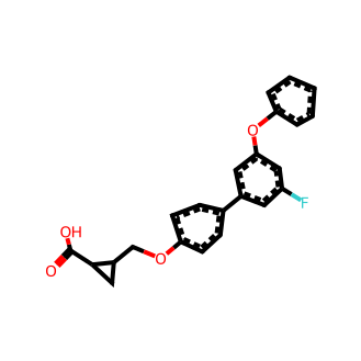 O=C(O)C1CC1COc1ccc(-c2cc(F)cc(Oc3ccccc3)c2)cc1